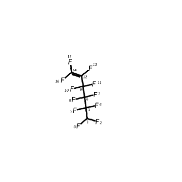 F[C](F)C(F)(F)C(F)(F)C(F)(F)C(F)=C(F)F